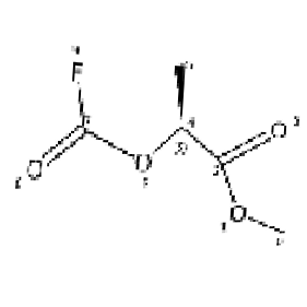 COC(=O)[C@H](C)OC(=O)F